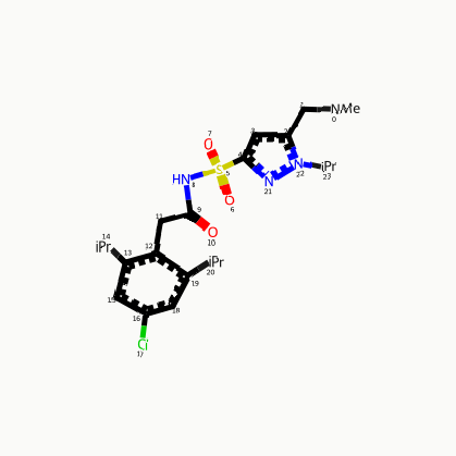 CNCc1cc(S(=O)(=O)NC(=O)Cc2c(C(C)C)cc(Cl)cc2C(C)C)nn1C(C)C